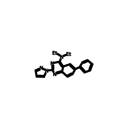 CCN(CC)c1nc(-n2cccn2)nc2ccc(-c3ccccc3)cc12